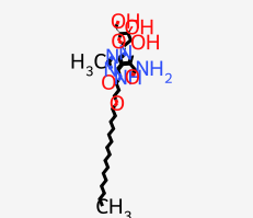 CCCCCCCCCCCCCCCCOCCC(=O)Nc1nc(C)nc2c1c(C(N)=O)cn2[C@@H]1O[C@H](CO)[C@@H](O)[C@H]1O